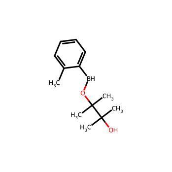 Cc1ccccc1BOC(C)(C)C(C)(C)O